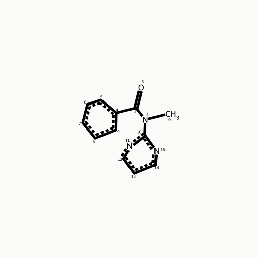 CN(C(=O)c1ccccc1)c1ncccn1